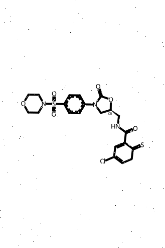 O=C(NC[C@H]1CN(c2ccc(S(=O)(=O)N3CCOCC3)cc2)C(=O)O1)C1=CC(Cl)=CCC1=S